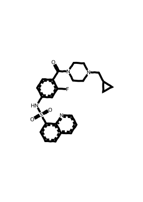 O=C(c1ccc(NS(=O)(=O)c2cccc3cccnc23)cc1F)N1CCN(CC2CC2)CC1